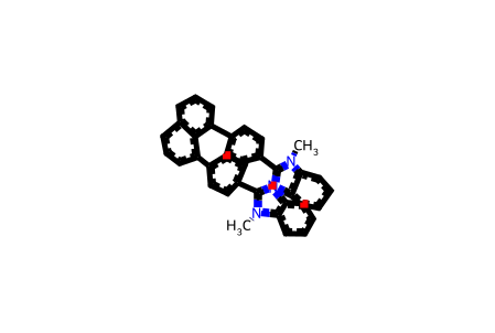 Cn1c(-c2ccc(-c3cccc4cccc(-c5ccc(-c6nc7ccccc7n6C)cc5)c34)cc2)nc2ccccc21